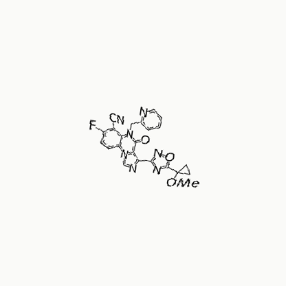 COC1(c2nc(-c3ncn4c3c(=O)n(Cc3ccccn3)c3c(C#N)c(F)ccc34)no2)CC1